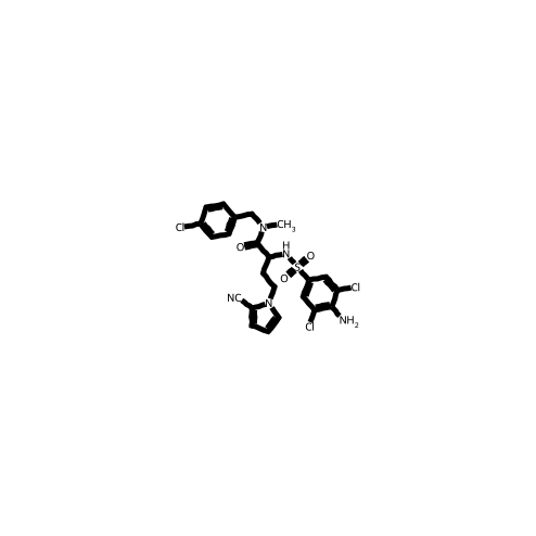 CN(Cc1ccc(Cl)cc1)C(=O)C(CCn1cccc1C#N)NS(=O)(=O)c1cc(Cl)c(N)c(Cl)c1